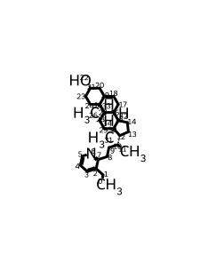 CCc1cccnc1CCC(C)[C@H]1CC[C@H]2[C@@H]3CC=C4C[C@@H](O)CC[C@]4(C)[C@H]3CC[C@]12C